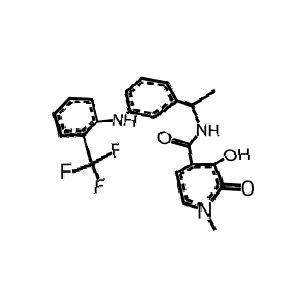 CC(NC(=O)c1ccn(C)c(=O)c1O)c1cccc(Nc2ccccc2C(F)(F)F)c1